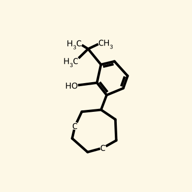 CC(C)(C)c1cccc(C2CCCCCCC2)c1O